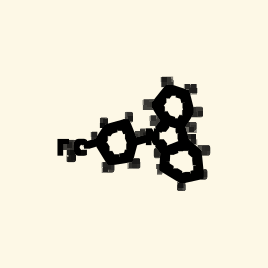 FC(F)(F)c1ccc(-n2c3ccccc3c3ccccc32)cc1